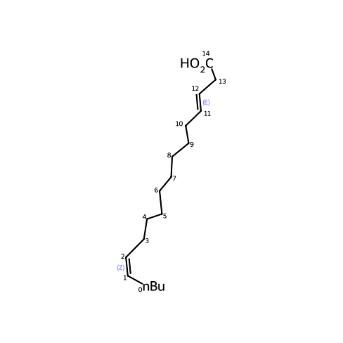 CCCC/C=C\CCCCCCCC/C=C/CC(=O)O